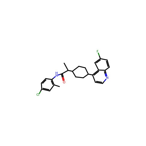 Cc1cc(Cl)ccc1NC(=O)C(C)C1CCC(c2ccnc3ccc(F)cc23)CC1